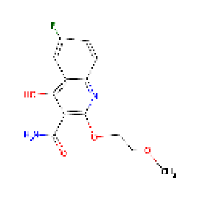 COCCOc1nc2ccc(F)cc2c(O)c1C(N)=O